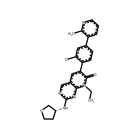 CCn1c(=O)c(-c2ccc(-c3cccnc3C)cc2Cl)cc2cnc(N[C@@H]3CCOC3)nc21